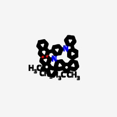 CC1(C)c2ccccc2-c2cc(N(c3cc(-n4c5ccccc5c5ccccc54)ccc3-c3cccc4ccccc34)c3cccc4c3-c3ccccc3C4(C)C)ccc21